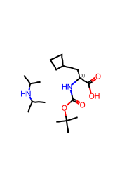 CC(C)(C)OC(=O)N[C@@H](CC1CCC1)C(=O)O.CC(C)NC(C)C